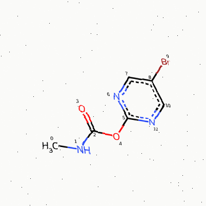 CNC(=O)Oc1ncc(Br)cn1